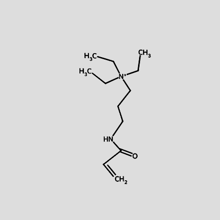 C=CC(=O)NCCC[N+](CC)(CC)CC